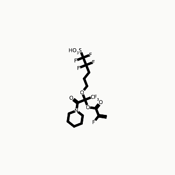 C=C(F)C(=O)OC(OCCCC(F)(F)C(F)(F)S(=O)(=O)O)(C(=O)N1CCCCC1)C(F)(F)F